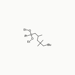 CCO[Si](CC(C)CC(C)(C)CC(C)(C)C)(OCC)C(C)C